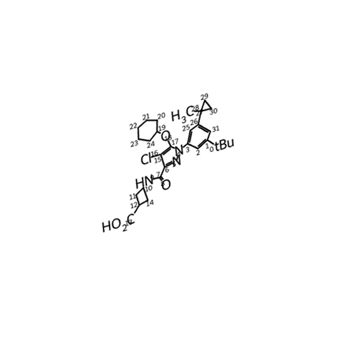 CC(C)(C)c1cc(-n2nc(C(=O)NC3CC(C(=O)O)C3)c(Cl)c2OC2CCCCC2)cc(C2(C)CC2)c1